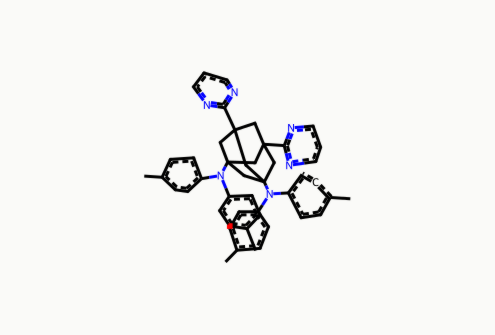 Cc1ccc(N(c2ccc(C)cc2)C23CC4(c5ncccn5)CC(c5ncccn5)(C2)CC(N(c2ccc(C)cc2)c2ccc(C)cc2)(C4)C3)cc1